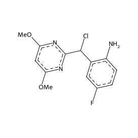 COc1cc(OC)nc(C(Cl)c2cc(F)ccc2N)n1